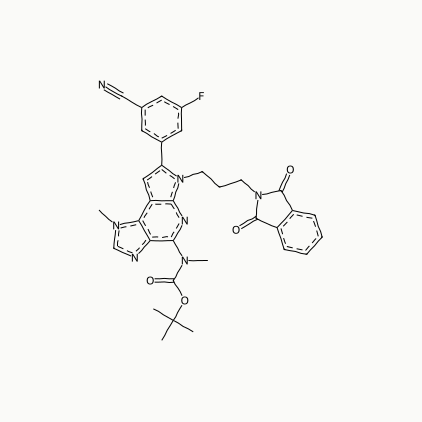 CN(C(=O)OC(C)(C)C)c1nc2c(cc(-c3cc(F)cc(C#N)c3)n2CCCN2C(=O)c3ccccc3C2=O)c2c1ncn2C